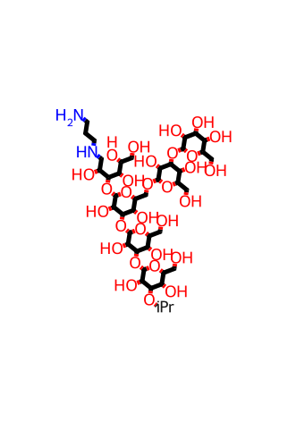 CC(C)OC1C(O)C(CO)OC(OC2C(O)C(CO)OC(OC3C(O)C(COC4OC(CO)C(O)C(OC5OC(CO)C(O)C(O)C5O)C4O)OC(OC(C(O)CNCCCN)C(O)C(O)CO)C3O)C2O)C1O